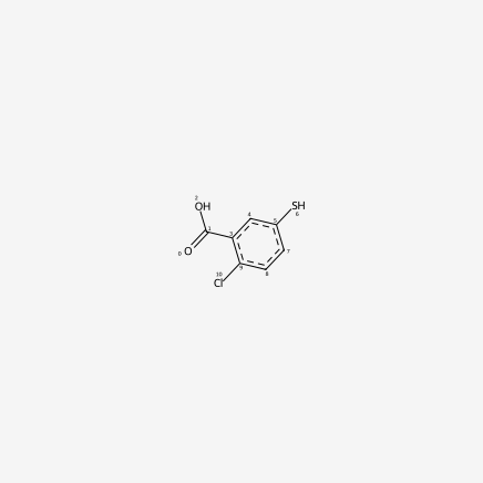 O=C(O)c1cc(S)ccc1Cl